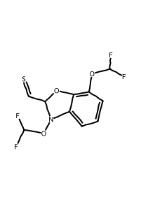 FC(F)Oc1cccc2c1OC(C=S)N2OC(F)F